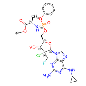 CC(C)OC(=O)[C@@H](C)N[P@](=O)(OC[C@H]1O[C@@H](n2cnc3c(NC4CC4)nc(N)nc32)[C@@](Cl)(CF)[C@@H]1O)Oc1ccccc1